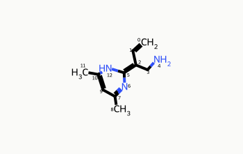 C=C/C(CN)=C1/N=C(C)C=C(C)N1